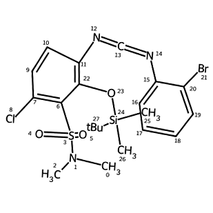 CN(C)S(=O)(=O)c1c(Cl)ccc(N=C=Nc2ccccc2Br)c1O[Si](C)(C)C(C)(C)C